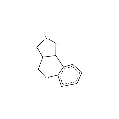 [CH]1NCC2COc3ccccc3C12